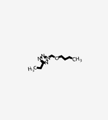 CCCCOCn1nnc(CC)n1